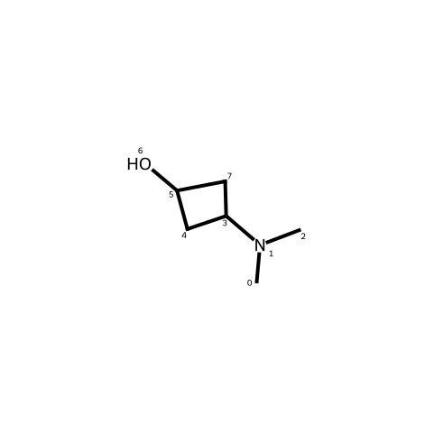 CN(C)C1CC(O)C1